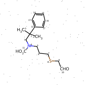 CC(C)(CN(CCCSCC=O)C(=O)O)c1ccccc1